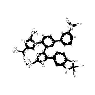 Cc1nc(-c2cc(-c3cccc([SH](=O)=O)c3)ccc2-n2cc(C(C)O)nc2C)c(-c2ccc3c(c2)OC(F)(F)O3)o1